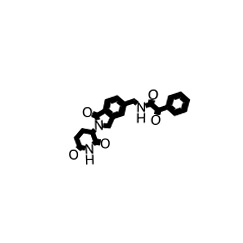 O=C1CCC(N2Cc3cc(CNC(=O)C(=O)c4ccccc4)ccc3C2=O)C(=O)N1